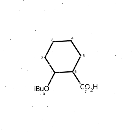 CC(C)COC1CCCCC1C(=O)O